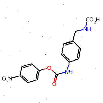 O=C(O)NCc1ccc(NC(=O)Oc2ccc([N+](=O)[O-])cc2)cc1